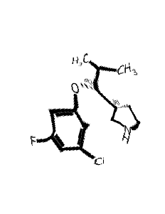 CC(C)[C@@H](Oc1cc(F)cc(Cl)c1)[C@@H]1CCNC1